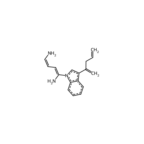 C=CCC(=C)c1cn(/C(N)=C/C=C\N)c2ccccc12